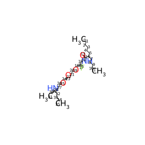 CCCCCCC(CCCCC)C(=O)NCC(F)COCCOCCOCCNC(CC)CCCC